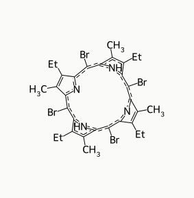 CCC1=C(C)c2nc1c(Br)c1[nH]c(c(Br)c3nc(c(Br)c4[nH]c(c2Br)c(CC)c4C)C(CC)=C3C)c(CC)c1C